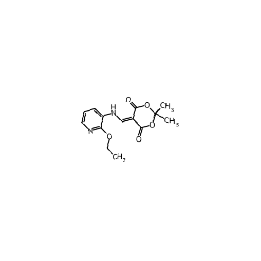 CCOc1ncccc1NC=C1C(=O)OC(C)(C)OC1=O